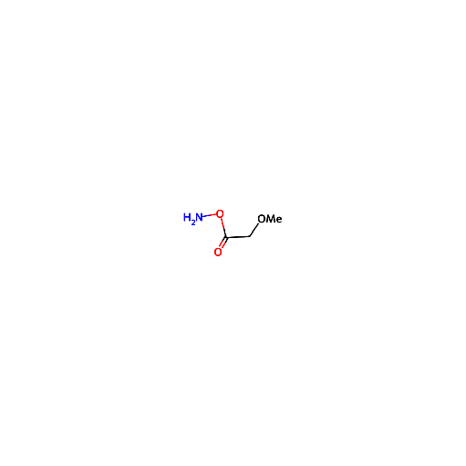 COCC(=O)ON